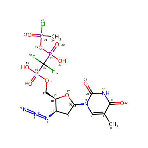 Cc1cn([C@H]2C[C@@H](N=[N+]=[N-])[C@@H](COP(=O)(O)C(F)(F)P(=O)(O)OP(C)(=O)Cl)O2)c(=O)[nH]c1=O